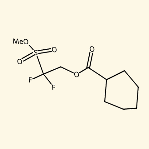 COS(=O)(=O)C(F)(F)COC(=O)C1CCCCC1